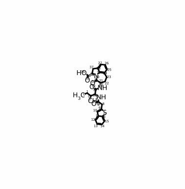 CC[C@H](C)[C@H](NC(=O)Cc1cc2ccccc2s1)C(=O)N[C@H]1CCc2cccc3c2N(C1=O)[C@H](C(=O)O)C3